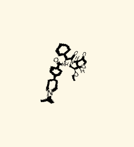 CCO[C@H]1CN(C(=O)[C@@H](NC(=O)c2ccc(C3CCN(C(C)C)CC3)cc2)C2CCCCC2)[C@@H]2C(=O)CO[C@H]12